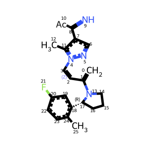 C=C(/C=C\n1ncc(C(=N)C(C)=O)c1C)N1CCC[C@@H]1c1cc(F)ccc1C